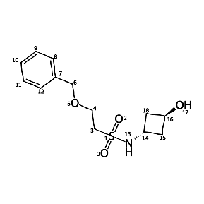 O=S(=O)(CCOCc1ccccc1)N[C@H]1C[C@H](O)C1